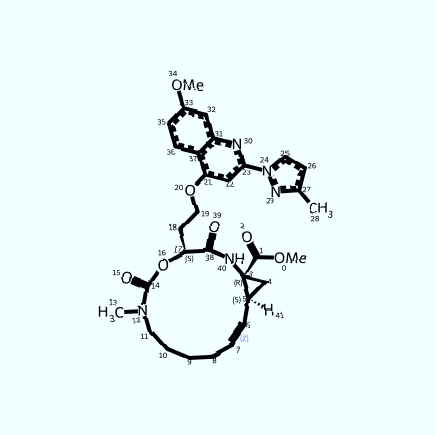 COC(=O)[C@@]12C[C@H]1/C=C\CCCCN(C)C(=O)O[C@@H](CCOc1cc(-n3ccc(C)n3)nc3cc(OC)ccc13)C(=O)N2